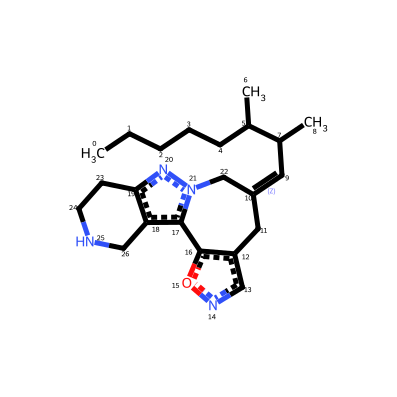 CCCCCC(C)C(C)/C=C1/Cc2cnoc2-c2c3c(nn2C1)CCNC3